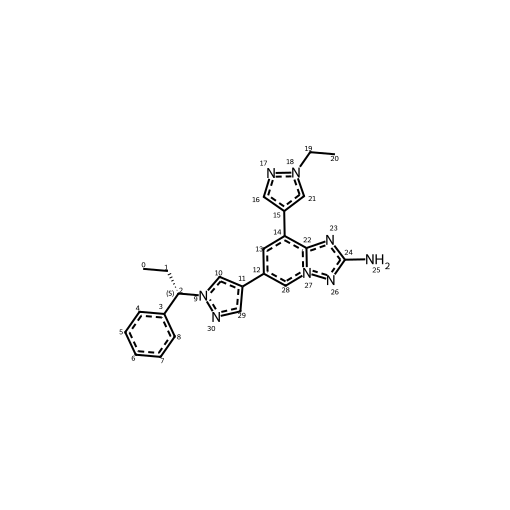 CC[C@@H](c1ccccc1)n1cc(-c2cc(-c3cnn(CC)c3)c3nc(N)nn3c2)cn1